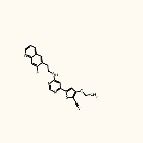 CCOc1cc(-c2cc(NCCc3cc4cccnc4cc3F)ncn2)sc1C#N